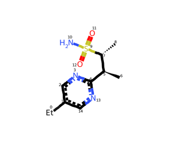 CCc1cnc([C@H](C)[C@@H](C)S(N)(=O)=O)nc1